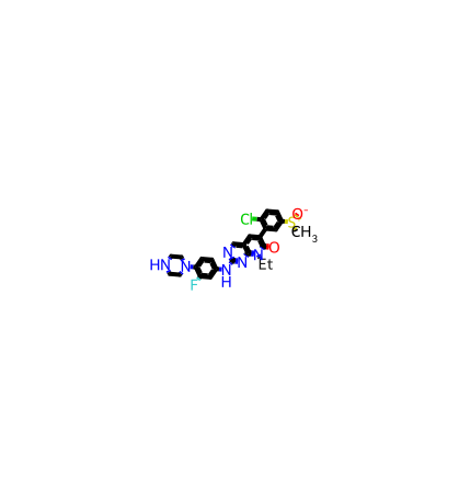 CCn1c(=O)c(-c2cc([S+](C)[O-])ccc2Cl)cc2cnc(Nc3ccc(N4CCNCC4)c(F)c3)nc21